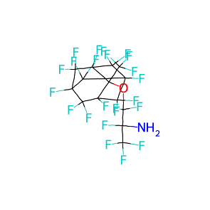 NC(F)(C(F)(F)F)C(F)(F)OC1(C(F)(F)F)C2(F)C(F)(F)C3(F)C(F)(F)C(F)(C2(F)F)C(F)(F)C1(F)C3(F)F